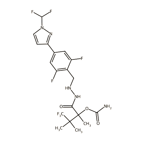 CC(OC(N)=O)(C(=O)NNCc1c(F)cc(-c2ccn(C(F)F)n2)cc1F)C(C)(C)C(F)(F)F